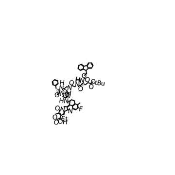 CC[C@@]1(O)C(=O)OCc2c1cc1n(c2=O)Cc2c-1nc1cc(F)c(C)c3c1c2[C@@H](NC(=O)CNC(=O)[C@H](Cc1ccccc1)NC(=O)CNC(=O)CNC(=O)[C@H](CCC(=O)OC(C)(C)C)NC(=O)OCC1c2ccccc2-c2ccccc21)CC3